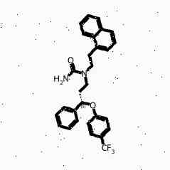 NC(=O)N(CCc1cccc2ccccc12)CC[C@H](Oc1ccc(C(F)(F)F)cc1)c1ccccc1